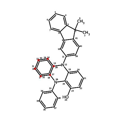 CC1(C)c2ccccc2-c2cc(N(c3ccccc3)c3cccc(O)c3N(c3ccccc3)c3ccccc3)ccc21